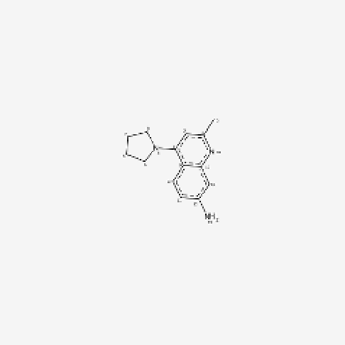 Cc1cc(N2CCCC2)c2ccc(N)cc2n1